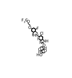 O[C@@H]1CO[C@H]2[C@@H]1OC[C@H]2Oc1nc2nc(NCc3c(F)cc(OCCOC(F)(F)F)cc3F)c(Cl)cc2[nH]1